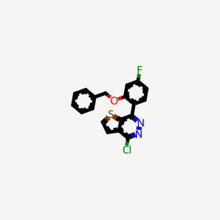 Fc1ccc(-c2nnc(Cl)c3ccsc23)c(OCc2ccccc2)c1